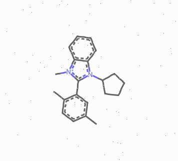 Cc1ccc(C)c(-c2n(C3CCCC3)c3ccccc3[n+]2C)c1